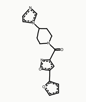 O=C(c1cc(-c2ccco2)on1)N1CCC(n2ccnc2)CC1